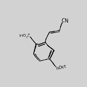 CCCCCCCCc1ccc(C(=O)O)c(C=CC#N)c1